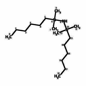 CCCCCC[Si](C)(C)N[Si](C)(C)CCCCCC